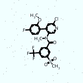 COc1cc(F)ccc1-c1cc(Cl)ncc1N(C)C(=O)c1cc(C(F)(F)F)cc(S(C)(=O)=O)c1